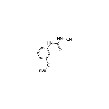 CCCCOc1cccc(NC(=O)NC#N)c1